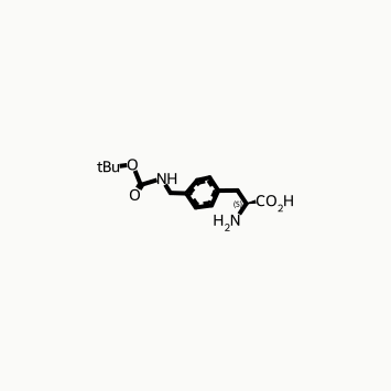 CC(C)(C)OC(=O)NCc1ccc(C[C@H](N)C(=O)O)cc1